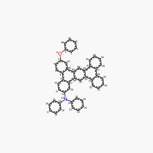 c1ccc(Oc2ccc3c4ccc(N(c5ccccc5)c5ccccc5)cc4c4cc5c6ccccc6c6ccccc6c5cc4c3c2)cc1